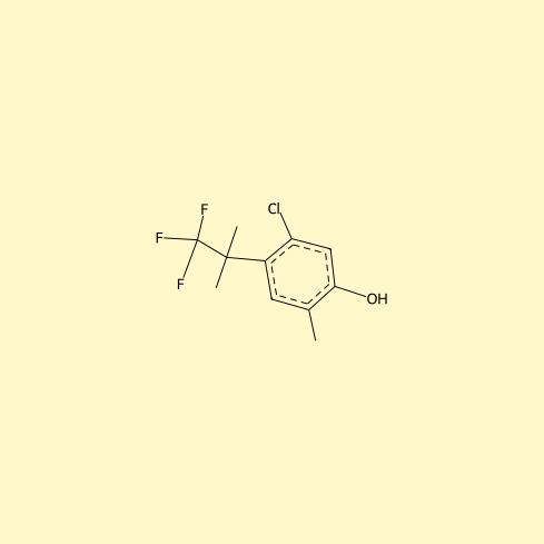 Cc1cc(C(C)(C)C(F)(F)F)c(Cl)cc1O